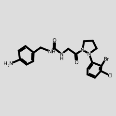 Nc1ccc(CNC(=O)NCC(=O)N2CCCN2c2cccc(Cl)c2Br)cc1